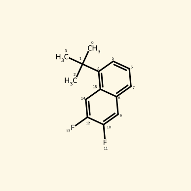 CC(C)(C)c1cccc2cc(F)c(F)cc12